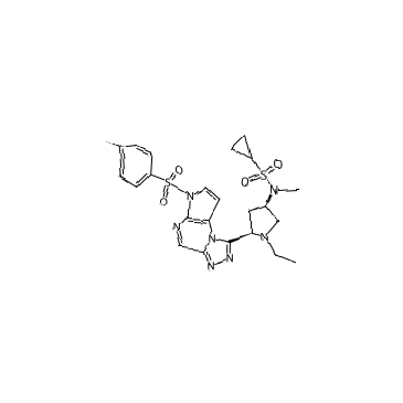 CCN1C[C@H](N(C)S(=O)(=O)C2CC2)C[C@@H]1c1nnc2cnc3c(ccn3S(=O)(=O)c3ccc(C)cc3)n12